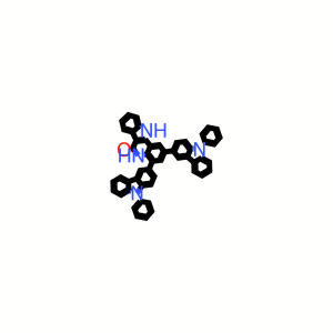 O=c1[nH]c2c(-c3ccc4c(c3)c3ccccc3n4-c3ccccc3)cc(-c3ccc4c(c3)c3ccccc3n4-c3ccccc3)cc2c2[nH]c3ccccc3c12